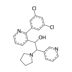 OC(c1cccnc1-c1cc(Cl)cc(Cl)c1)C(c1cccnc1)N1CCCC1